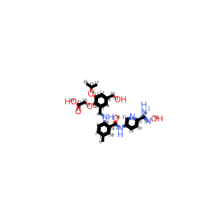 Cc1ccc(NCc2cc(CO)cc(OC(C)C)c2OCC(=O)O)c(C(=O)Nc2ccc(/C(N)=N/O)nc2)c1